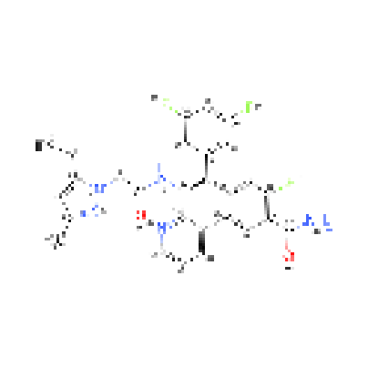 CC(C)Cc1cc(C(F)(F)F)nn1CC(=O)N[C@@H](Cc1cc(F)cc(F)c1)c1ncccc1-c1ccc(F)c(C(N)=O)c1